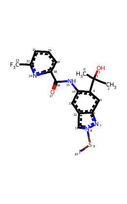 CC(C)(O)c1cc2nn(SI)cc2cc1NC(=O)c1cccc(C(F)(F)F)n1